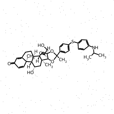 CC(C)Nc1ccc(Sc2ccc([C@@]3(C)O[C@@H]4C[C@H]5[C@@H]6CCC7=CC(=O)C=C[C@]7(C)[C@H]6[C@@H](O)C[C@]5(C)[C@]4(C(=O)CO)O3)cc2)cc1